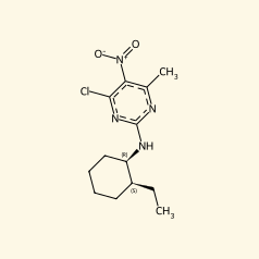 CC[C@H]1CCCC[C@H]1Nc1nc(C)c([N+](=O)[O-])c(Cl)n1